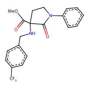 COC(=O)C1(NCc2ccc(C(F)(F)F)cc2)CCN(c2ccccc2)C1=O